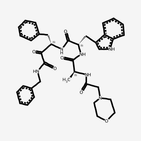 C[C@H](NC(=O)CN1CCOCC1)C(=O)N[C@@H](Cc1c[nH]c2ccccc12)C(=O)N[C@@H](Cc1ccccc1)C(=O)C(=O)NCc1ccccc1